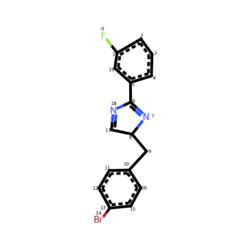 Fc1cccc(C2=NC(Cc3ccc(Br)cc3)C=N2)c1